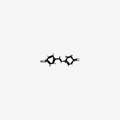 CCC1CC=C(CCc2ccc(C#N)cc2)CC1